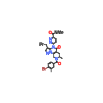 CNC(=O)c1ccc(-n2c(=O)c3c(n4ncc(CC(C)C)c24)CN(C(=O)c2ccc(Br)c(C)c2)C(C)C3)nn1